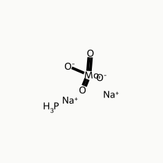 P.[Na+].[Na+].[O]=[Mo](=[O])([O-])[O-]